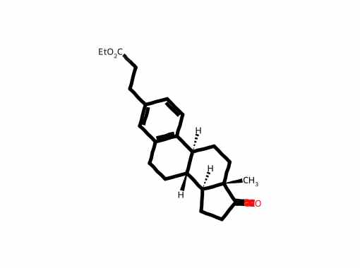 CCOC(=O)CCc1ccc2c(c1)CC[C@@H]1[C@@H]2CC[C@]2(C)C(=O)CC[C@@H]12